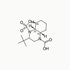 CC(C)(C)C1CN(C(=O)O)[C@H]2CCC[C@H]3OS(=O)(=O)N1[C@H]32